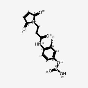 O=C(CCN1C(=O)C=CC1=O)Nc1ccc(OS(=O)O)cc1F